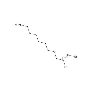 CCCCCCCCCCCCCCCC[NH+]([O-])OCC